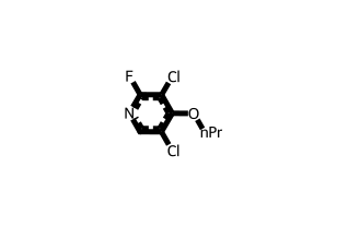 CCCOc1c(Cl)cnc(F)c1Cl